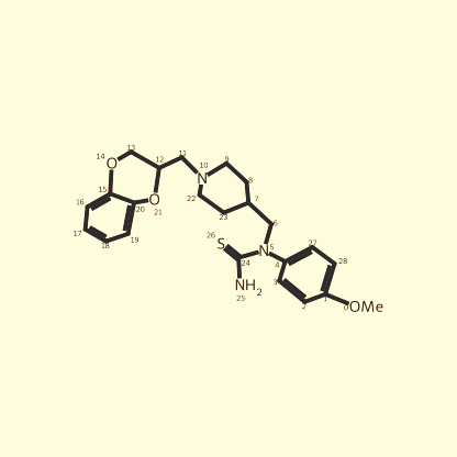 COc1ccc(N(CC2CCN(CC3COc4ccccc4O3)CC2)C(N)=S)cc1